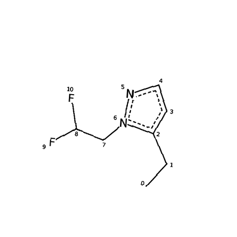 CCc1ccnn1CC(F)F